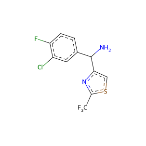 NC(c1ccc(F)c(Cl)c1)c1csc(C(F)(F)F)n1